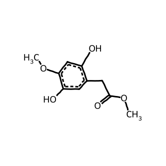 COC(=O)Cc1cc(O)c(OC)cc1O